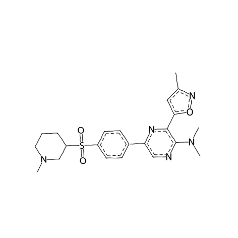 Cc1cc(-c2nc(-c3ccc(S(=O)(=O)C4CCCN(C)C4)cc3)cnc2N(C)C)on1